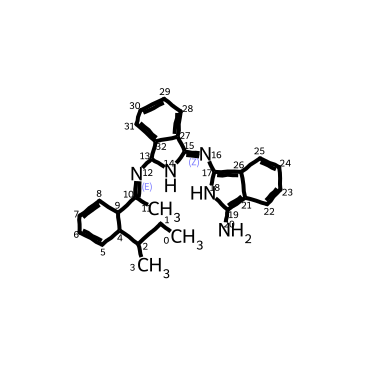 CCC(C)C1C=CC=CC1/C(C)=N/C1N/C(=N\c2[nH]c(N)c3ccccc23)c2ccccc21